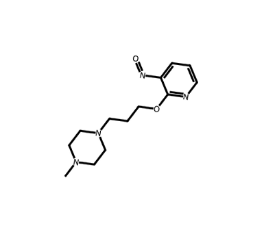 CN1CCN(CCCOc2ncccc2N=O)CC1